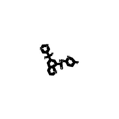 O=C(Nc1ccc(F)cn1)c1cc(C(F)(F)c2cncnc2)cc2cccnc12